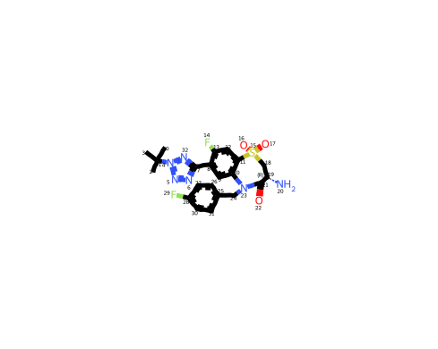 CC(C)(C)n1nnc(-c2cc3c(cc2F)S(=O)(=O)C[C@H](N)C(=O)N3Cc2ccc(F)cc2)n1